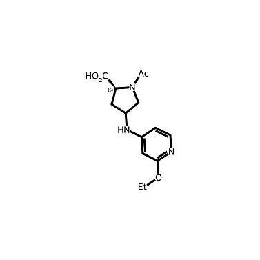 CCOc1cc(NC2C[C@@H](C(=O)O)N(C(C)=O)C2)ccn1